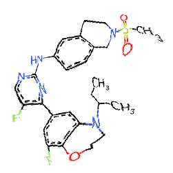 CCC(C)N1CCOc2c(F)cc(-c3nc(Nc4ccc5c(c4)CCN(S(C)(=O)=O)C5)ncc3F)cc21